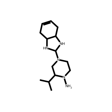 CC(C)C1CN(C2NC3CC=CCC3N2)CCN1N